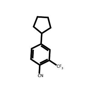 N#Cc1ccc(C2CCCC2)cc1C(F)(F)F